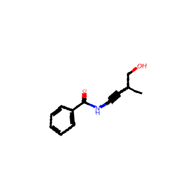 CC(C#CNC(=O)c1ccccc1)CO